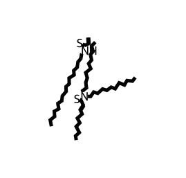 C=CC(=S)NCCCCCCCCCCCCCCCCCC.CCCCCCCC=CC(=S)N(CCCCCCCCCCCC)CCCCCCCCCCCC